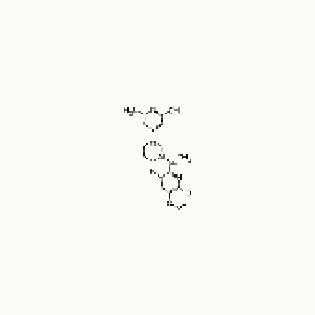 Cc1cc([C@H]2CCCN([C@H](C)c3nc4c(cc3F)OCCO4)C2)cc(C)n1